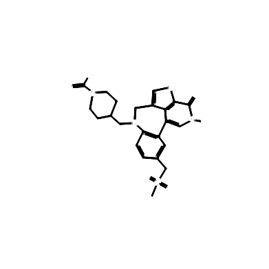 Cn1cc2c3c(c[nH]c3c1=O)CN(CC1CCN(C(=O)O)CC1)c1ccc(CS(C)(=O)=O)cc1-2